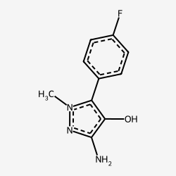 Cn1nc(N)c(O)c1-c1ccc(F)cc1